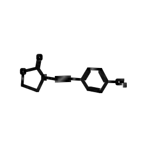 O=C1OCCN1C#Cc1ccc(C(F)(F)F)cc1